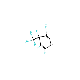 FC1=C[CH]C(F)=C(F)C1(F)C(F)(F)F